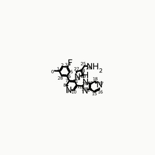 Cc1cc(F)cc(-c2cncc(-c3nc4ccncc4[nH]3)c2N2CC(CN)C2)c1